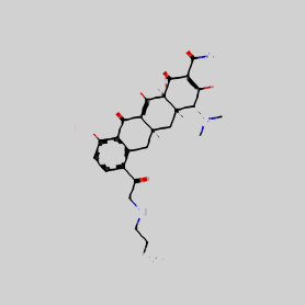 COCCNCC(=O)c1ccc(O)c2c1C[C@H]1C[C@H]3[C@H](N(C)C)C(O)=C(C(N)=O)C(=O)[C@@]3(O)C(O)=C1C2=O